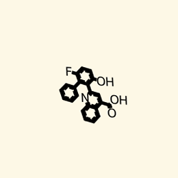 O=C(O)c1cc(-c2c(O)ccc(F)c2-c2ccccc2)nc2ccccc12